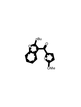 CCCCc1oc2ccccc2c1C(=O)c1ccc(OC)s1